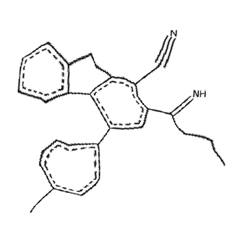 CCCC(=N)c1cc(-c2ccc(C)cc2)c2c(c1C#N)Cc1ccccc1-2